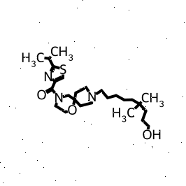 CC(C)c1nc(C(=O)N2CCOC3(CCN(CCCCCC(C)(C)CCCO)CC3)C2)cs1